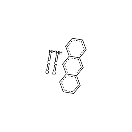 N=C=O.N=C=O.c1ccc2cc3ccccc3cc2c1